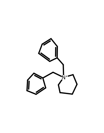 c1ccc(C[N+]2(Cc3ccccc3)CCCCC2)cc1